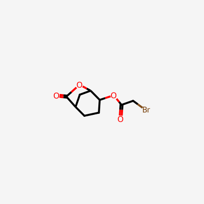 O=C(CBr)OC1CCC2CC1OC2=O